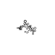 CCC(C)C(NC(=O)CC1(CC(=O)O)CCCC1)C(=O)NCC(=O)N1c2ccccc2C[C@H]1C(=O)NCc1nn[nH]n1